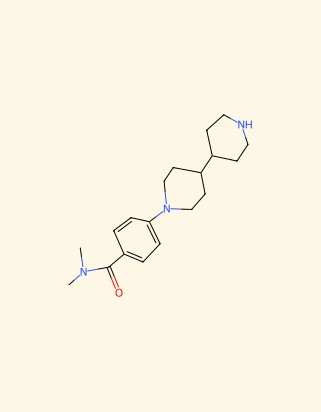 CN(C)C(=O)c1ccc(N2CCC(C3CCNCC3)CC2)cc1